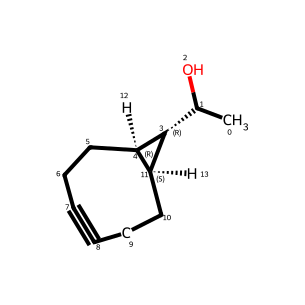 CC(O)[C@H]1[C@@H]2CCC#CCC[C@@H]21